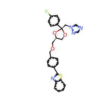 Fc1ccc([C@]2(Cn3cncn3)OC[C@@H](COCc3ccc(-c4nc5ccccc5s4)cc3)O2)cc1